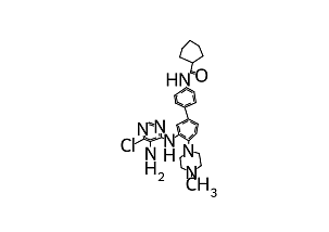 CN1CCN(c2ccc(-c3ccc(NC(=O)C4CCCCC4)cc3)cc2Nc2ncnc(Cl)c2N)CC1